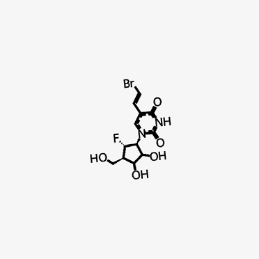 O=c1[nH]c(=O)n([C@H]2C(O)C(O)[C@@H](CO)[C@@H]2F)cc1C=CBr